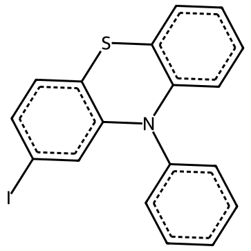 Ic1ccc2c(c1)N(c1ccccc1)c1ccccc1S2